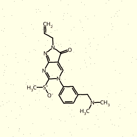 C=CCn1nc2nc([S+](C)[O-])n(-c3cccc(CN(C)C)c3)cc-2c1=O